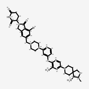 C[C@@H]1OCC2(CCN(c3cnc(Sc4ccnc(N5CCN(Cc6cc(Br)c7c(c6)CN(C6CCC(=O)NC6=O)C7=O)CC5)c4)c(N)n3)CC2)[C@@H]1N